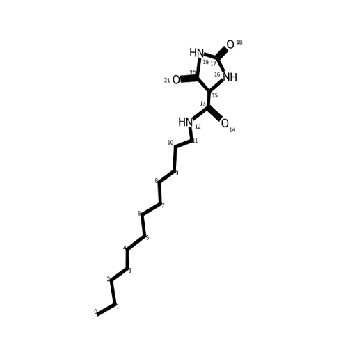 CCCCCCCCCCCCNC(=O)C1NC(=O)NC1=O